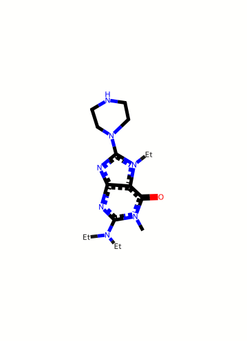 CCN(CC)c1nc2nc(N3CCNCC3)n(CC)c2c(=O)n1C